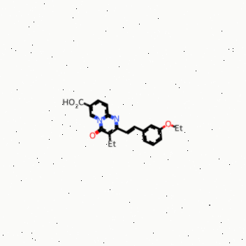 CCOc1cccc(/C=C/c2nc3ccc(C(=O)O)cn3c(=O)c2CC)c1